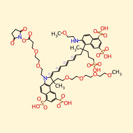 COCCNc1ccc2c(S(=O)(=O)O)cc(S(=O)(=O)O)cc2c1C(C)(C/C=C/C=C/C=C/C=C1/N(CCOCCOCCC(=O)ON2C(=O)CCC2=O)c2ccc3c(S(=O)(=O)O)cc(S(=O)(=O)O)cc3c2C1(C)CCOCCOCCOCCOC)CCCS(=O)(=O)O